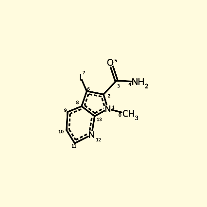 Cn1c(C(N)=O)c(I)c2cccnc21